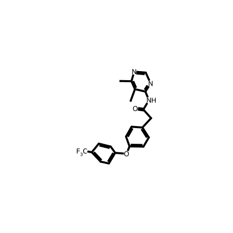 Cc1ncnc(NC(=O)Cc2ccc(Oc3ccc(C(F)(F)F)cc3)cc2)c1C